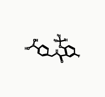 [2H]C([2H])([2H])Oc1ccc(F)cc1C(=O)NCc1ccc(B(O)O)cc1